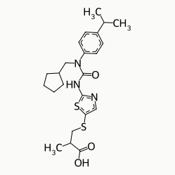 CC(CSc1cnc(NC(=O)N(CC2CCCC2)c2ccc(C(C)C)cc2)s1)C(=O)O